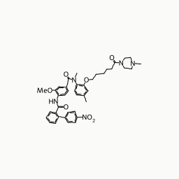 COc1cc(C(=O)N(C)c2ccc(C)cc2OCCCCCC(=O)N2CCN(C)CC2)ccc1NC(=O)c1ccccc1-c1ccc([N+](=O)[O-])cc1